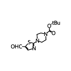 CC(C)(C)OC(=O)N1CCN(c2ncc(C=O)s2)CC1